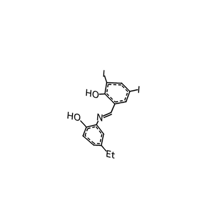 CCc1ccc(O)c(N=Cc2cc(I)cc(I)c2O)c1